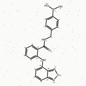 O=C(NCc1ccc(B(O)O)cc1)c1ccccc1Nc1cccc2nonc12